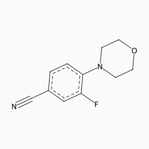 N#Cc1ccc(N2CCOCC2)c(F)c1